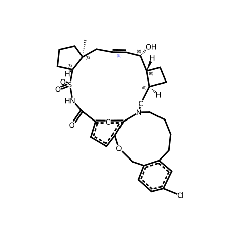 C[C@]12C/C=C/[C@H](O)[C@@H]3CC[C@H]3CN3CCCCc4cc(Cl)ccc4COc4ccc(cc43)C(=O)NS(=O)(=O)[C@H]1CCC2